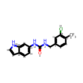 O=C(NCc1ccc(C(F)(F)F)c(Cl)c1)Nc1ccc2cc[nH]c2c1